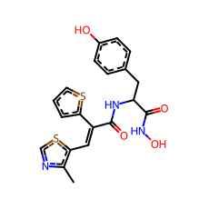 Cc1ncsc1C=C(C(=O)NC(Cc1ccc(O)cc1)C(=O)NO)c1cccs1